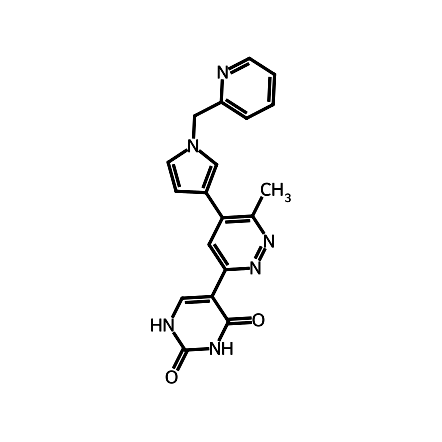 Cc1nnc(-c2c[nH]c(=O)[nH]c2=O)cc1-c1ccn(Cc2ccccn2)c1